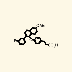 COc1ccc2c(Oc3ccc(CCC(=O)O)cc3)c(-c3cccc(F)c3)ccc2c1